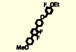 CCOc1ccc(COC2CCC(c3ccc(C4CCC(OC)CC4)c(F)c3F)CC2)cc1F